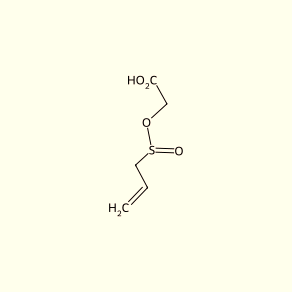 C=CCS(=O)OCC(=O)O